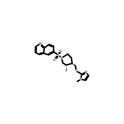 Cn1ccnc1SC[C@@H]1CCN(S(=O)(=O)c2ccc3ncccc3c2)C[C@H]1F